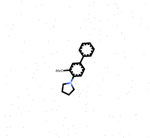 COc1cc(-c2ccccc2)ccc1N1CCCC1